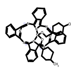 CC1CCC(CO[Si]2(OCC3CCC(C)CC3)n3c4c5ccccc5c3/N=C3N=C(/N=c5/c6ccccc6/c(n52)=N/C2=NC(=N\4)/c4ccccc42)c2ccccc2\3)CC1